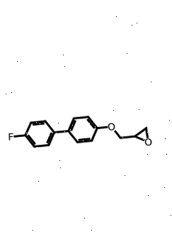 Fc1ccc(-c2ccc(OCC3CO3)cc2)cc1